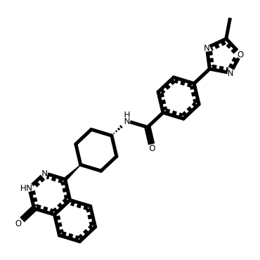 Cc1nc(-c2ccc(C(=O)N[C@H]3CC[C@H](c4n[nH]c(=O)c5ccccc54)CC3)cc2)no1